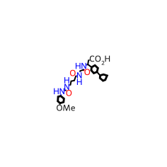 COc1ccc(NC(=O)NCCCC(=O)NCC(=O)NC(CC(=O)O)c2ccc(-c3ccccc3)cc2)cc1